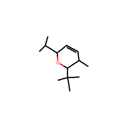 CC(C)C1C=CC(C)C(C(C)(C)C)O1